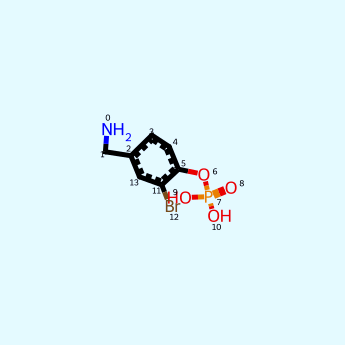 NCc1ccc(OP(=O)(O)O)c(Br)c1